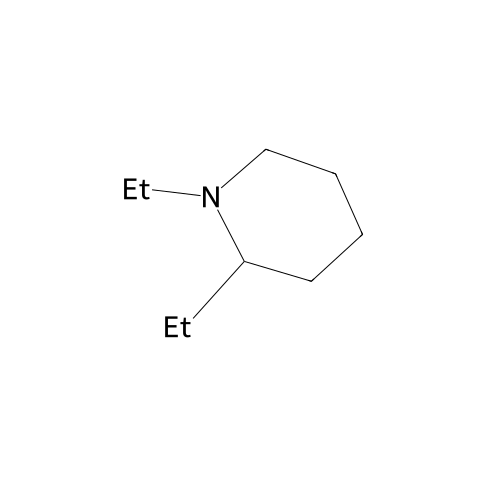 [CH2]CN1CCCCC1CC